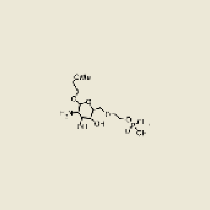 COCCOC1OC(COCCOP(C)(=O)O)C(O)C(O)C1N